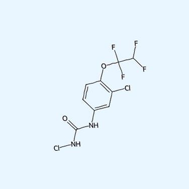 O=C(NCl)Nc1ccc(OC(F)(F)C(F)F)c(Cl)c1